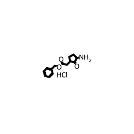 Cl.NC1CCC(CC(=O)OCc2ccccc2)C1=O